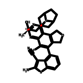 C[C@H](O)CN1CC2CCC(C1)N2c1ncnc2c(F)c(-c3cccc4sc(N)c(C#N)c34)c3c(c12)COC3